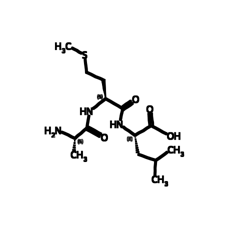 CSCC[C@H](NC(=O)[C@H](C)N)C(=O)N[C@@H](CC(C)C)C(=O)O